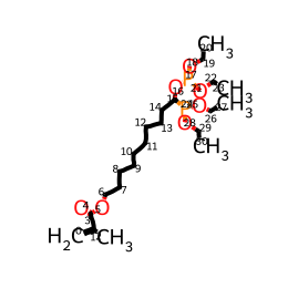 C=C(C)C(=O)OCCCCCCCCCC(OP(OCC)OCC)P(OCC)OCC